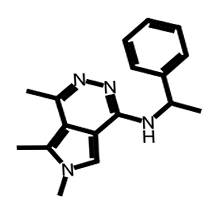 Cc1nnc(NC(C)c2ccccc2)c2cn(C)c(C)c12